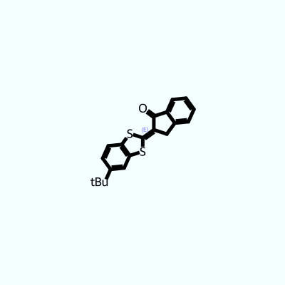 CC(C)(C)c1ccc2c(c1)S/C(=C1\Cc3ccccc3C1=O)S2